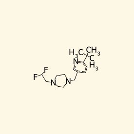 CC(C)(C)c1ccc(CN2CCN(CC(F)F)CC2)cn1